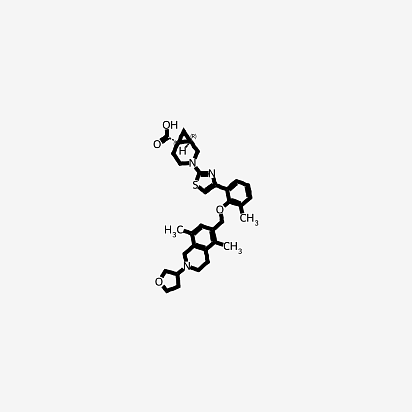 Cc1cc(COc2c(C)cccc2-c2csc(N3CC[C@@]4(C(=O)O)C[C@H]4C3)n2)c(C)c2c1CN(C1CCOC1)CC2